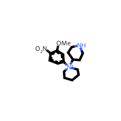 COc1cc([N+]2(C3CCNCC3)CCCCC2)ccc1[N+](=O)[O-]